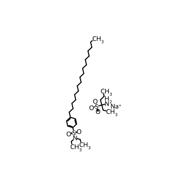 CCCC(N)(CC)S(=O)(=O)[O-].CCCCCCCCCCCCCCCCCCc1ccc(S(=O)(=O)N(CC)CC)cc1.[Na+]